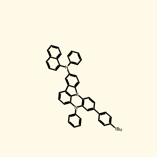 CC(C)(C)c1ccc(-c2ccc3c(c2)N(c2ccccc2)c2cccc4c2B3c2ccc(N(c3ccccc3)c3cccc5ccccc35)cc2-4)cc1